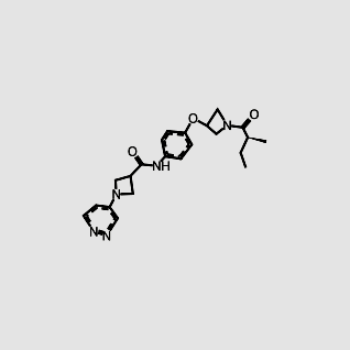 CC[C@H](C)C(=O)N1CC(Oc2ccc(NC(=O)C3CN(c4ccnnc4)C3)cc2)C1